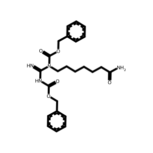 N=C(NC(=O)OCc1ccccc1)N(CCCCCCC(N)=O)C(=O)OCc1ccccc1